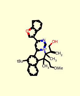 C=C(CO)C1(C)[n+]2cnc(-c3coc4ccccc34)cc2-c2cc(C(C)(C)C)c3ccccc3c2C1(C)CCOC